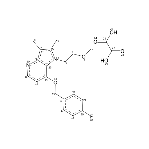 COCCn1c(C)c(C)c2nccc(OCc3ccc(F)cc3)c21.O=C(O)C(=O)O